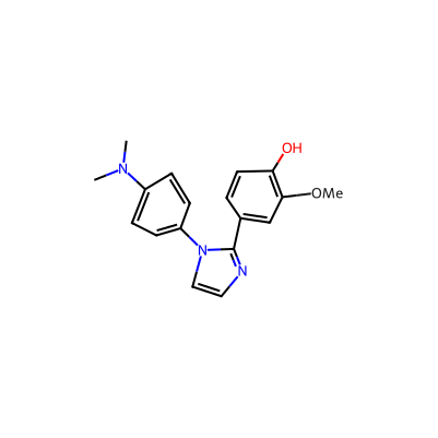 COc1cc(-c2nccn2-c2ccc(N(C)C)cc2)ccc1O